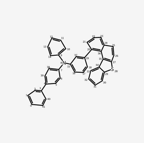 c1ccc(-c2ccc(N(c3ccccc3)c3cccc(-c4cccc5ccc6sc7ccccc7c6c45)c3)cc2)cc1